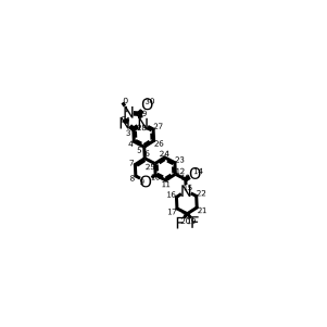 Cn1nc2cc(C3=CCOc4cc(C(=O)N5CCC(F)(F)CC5)ccc43)ccn2c1=O